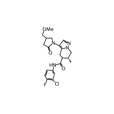 COCC1CC(=O)N(c2cnn3c2CC(C(=O)Nc2ccc(F)c(Cl)c2)[C@H](C)C3)C1